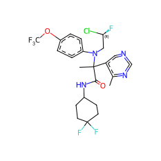 Cc1ncncc1C(C)(C(=O)NC1CCC(F)(F)CC1)N(C[C@H](F)Cl)c1ccc(OC(F)(F)F)cc1